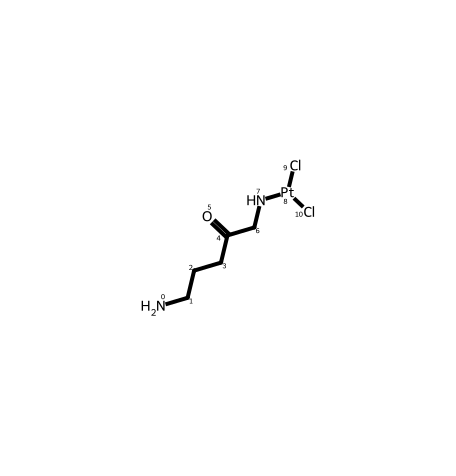 NCCCC(=O)C[NH][Pt]([Cl])[Cl]